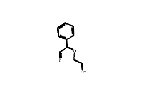 O=[C]C(OCCO)c1ccccc1